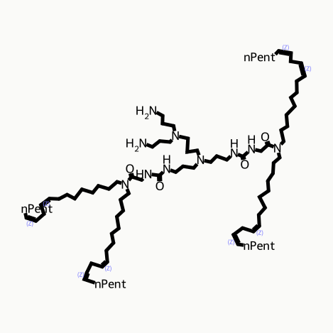 CCCCC/C=C\C/C=C\CCCCCCCCN(CCCCCCCC/C=C\C/C=C\CCCCC)C(=O)CNC(=O)NCCCN(CCCNC(=O)NCC(=O)N(CCCCCCCC/C=C\C/C=C\CCCCC)CCCCCCCC/C=C\C/C=C\CCCCC)CCCN(CCCN)CCCN